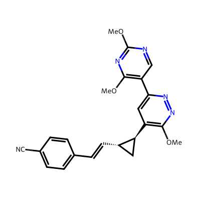 COc1ncc(-c2cc([C@H]3C[C@@H]3/C=C/c3ccc(C#N)cc3)c(OC)nn2)c(OC)n1